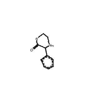 O=C1[N]CCNC1c1ccccc1